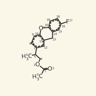 CC(=O)OCC(C)c1ccc2c(c1)Cc1cc(F)ccc1O2